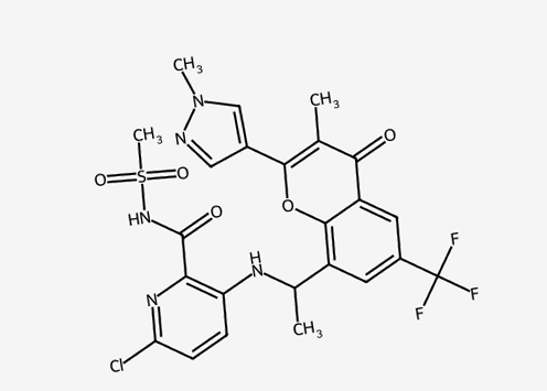 Cc1c(-c2cnn(C)c2)oc2c(C(C)Nc3ccc(Cl)nc3C(=O)NS(C)(=O)=O)cc(C(F)(F)F)cc2c1=O